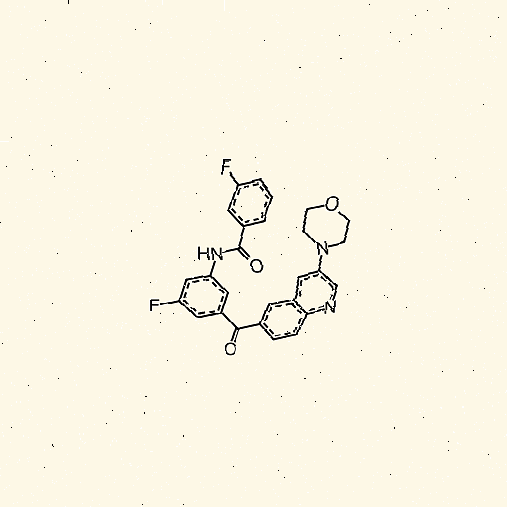 O=C(Nc1cc(F)cc(C(=O)c2ccc3ncc(N4CCOCC4)cc3c2)c1)c1cccc(F)c1